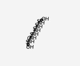 O=C(CCNC(=S)c1ccc(O)cc1)NCCC(=S)NCCCNC(=S)CCNC(=S)CCNC(=S)c1ccc(O)cc1